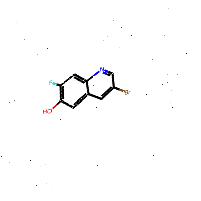 Oc1cc2cc(Br)cnc2cc1F